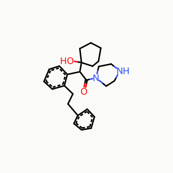 O=C(C(c1ccccc1CCc1ccccc1)C1(O)CCCCC1)N1CCNCC1